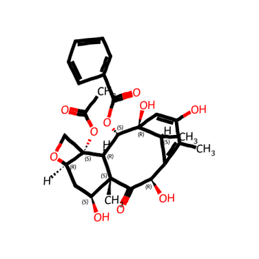 CC(=O)O[C@@]12CO[C@@H]1C[C@H](O)[C@@]1(C)C(=O)[C@H](O)C3=C(C)C(O)=C[C@](O)([C@H]3C)[C@@H](OC(=O)c3ccccc3)[C@H]21